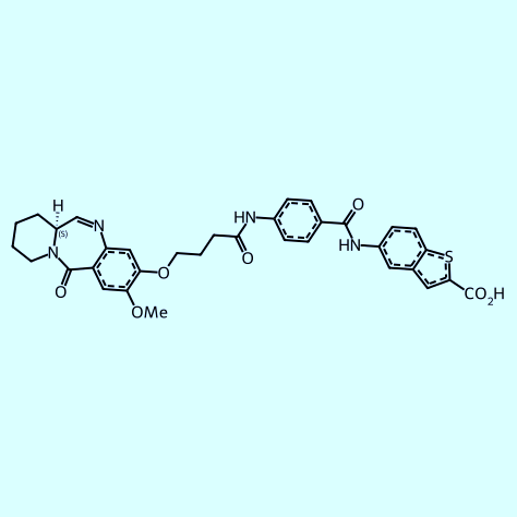 COc1cc2c(cc1OCCCC(=O)Nc1ccc(C(=O)Nc3ccc4sc(C(=O)O)cc4c3)cc1)N=C[C@@H]1CCCCN1C2=O